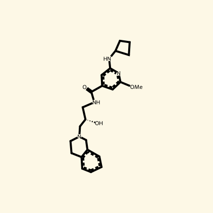 COc1cc(C(=O)NC[C@H](O)CN2CCc3ccccc3C2)cc(NC2CCC2)n1